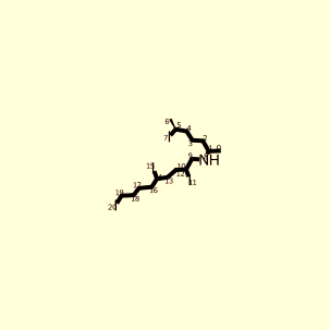 CC(CCC[C@H](C)I)NCC(I)CCC(I)CCCCI